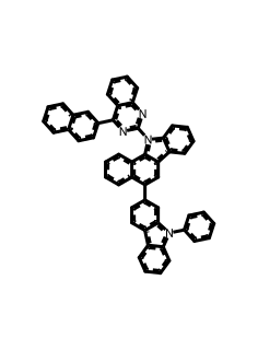 c1ccc(-n2c3ccccc3c3ccc(-c4cc5c6ccccc6n(-c6nc(-c7ccc8ccccc8c7)c7ccccc7n6)c5c5ccccc45)cc32)cc1